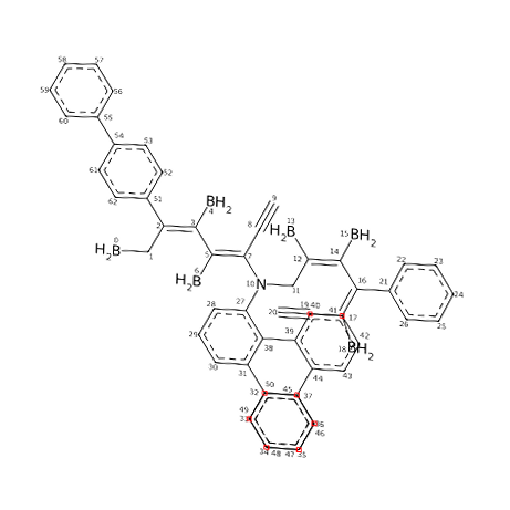 BC/C(=C(B)\C(B)=C(/C#C)N(C/C(B)=C(B)\C(=C(\B)C#C)c1ccccc1)c1cccc(-c2ccccc2)c1-c1ccccc1-c1ccccc1)c1ccc(-c2ccccc2)cc1